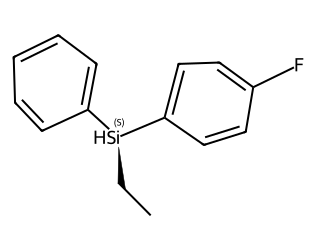 CC[Si@@H](c1ccccc1)c1ccc(F)cc1